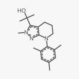 Cc1cc(C)c(N2CCCc3c2nn(C)c3C(C)(C)O)c(C)c1